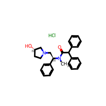 CN(C(=O)C(c1ccccc1)c1ccccc1)[C@H](CN1CC[C@H](O)C1)c1ccccc1.Cl